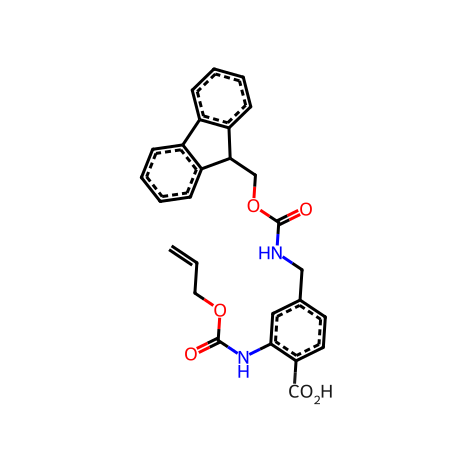 C=CCOC(=O)Nc1cc(CNC(=O)OCC2c3ccccc3-c3ccccc32)ccc1C(=O)O